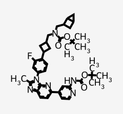 Cc1nc2ccc(-c3ccnc(NC(=O)OC(C)(C)C)c3)nc2n1-c1ccc(C2CC(CN(CC3CC4CC43)C(=O)OC(C)(C)C)C2)c(F)c1